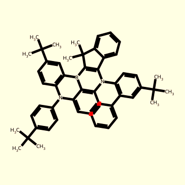 CC(C)(C)c1ccc(N2c3ccc(C(C)(C)C)cc3B3C4=C(c5ccccc5C4(C)C)N(c4ccc(C(C)(C)C)cc4-c4ccccc4)c4cccc2c43)cc1